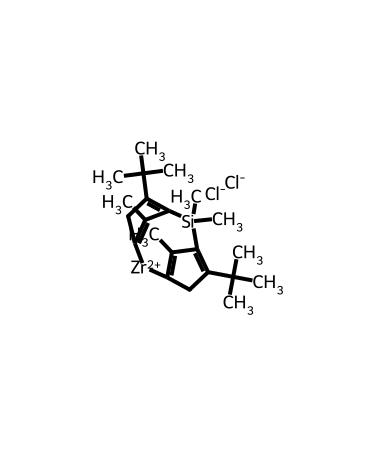 CC1=[C]2CC(C(C)(C)C)=C1[Si](C)(C)C1=C(C(C)(C)C)C[C](=C1C)[Zr+2]2.[Cl-].[Cl-]